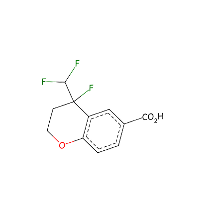 O=C(O)c1ccc2c(c1)C(F)(C(F)F)CCO2